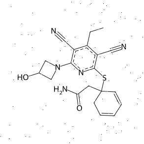 CCc1c(C#N)c(SC2(CC(N)=O)C=CC=CC2)nc(N2CC(O)C2)c1C#N